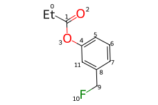 CCC(=O)Oc1cccc(CF)c1